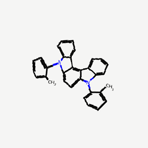 Cc1ccccc1-n1c2ccccc2c2c3c4ccccc4n(-c4ccccc4C)c3ccc21